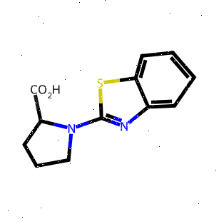 O=C(O)C1CCCN1c1nc2ccccc2s1